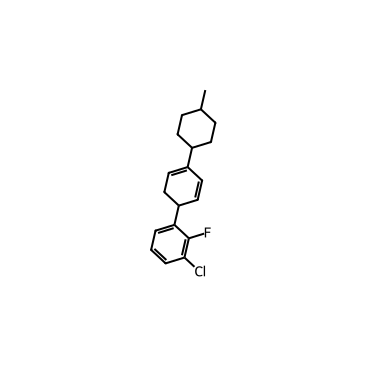 CC1CCC(C2=CCC(c3cccc(Cl)c3F)C=C2)CC1